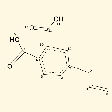 C=CCc1ccc(C(=O)O)c(C(=O)O)c1